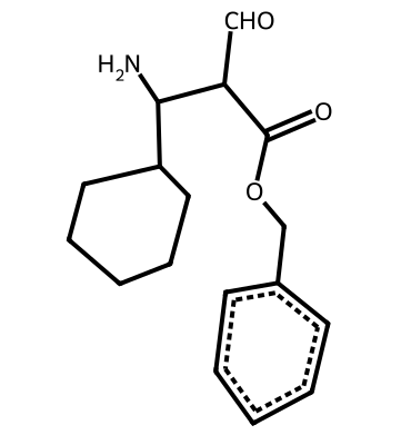 NC(C1CCCCC1)C(C=O)C(=O)OCc1ccccc1